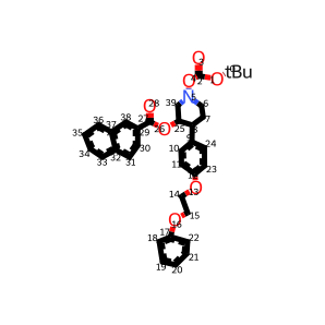 CC(C)(C)OC(=O)ON1CCC(c2ccc(OCCOc3ccccc3)cc2)C(OC(=O)c2ccc3ccccc3c2)C1